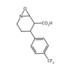 O=C(O)C1C(c2ccc(C(F)(F)F)cc2)CCN2OC12